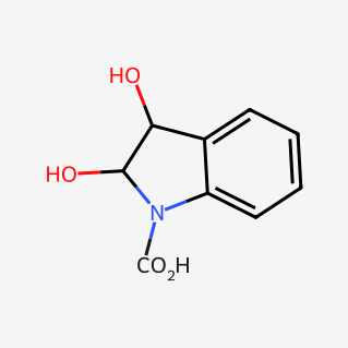 O=C(O)N1c2ccccc2C(O)C1O